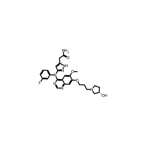 COc1cc2c(N(c3cccc(F)c3)c3cc(CC(N)=O)[nH]n3)ncnc2cc1OCCCN1CC[C@H](O)C1